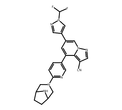 N#Cc1cnn2cc(-c3cnn(C(F)F)c3)cc(-c3ccc(N4CC5CCC(C4)N5)nc3)c12